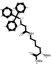 CN[C@@H](CCCCNC(=O)CCSC(c1ccccc1)(c1ccccc1)c1ccccc1)C(=O)OC